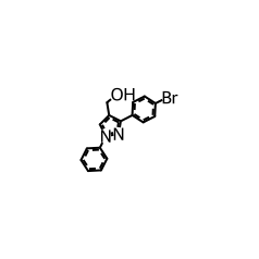 OCc1cn(-c2ccccc2)nc1-c1ccc(Br)cc1